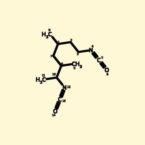 CC(CCN=C=O)CC(C)C(C)N=C=O